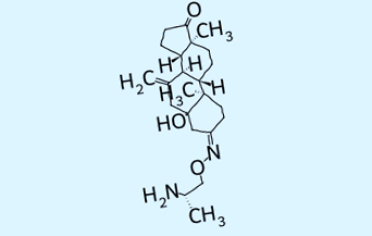 C=C1C[C@@]2(O)CC(=NOC[C@H](C)N)CC[C@]2(C)[C@H]2CC[C@]3(C)C(=O)CC[C@H]3[C@H]12